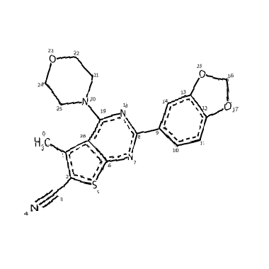 Cc1c(C#N)sc2nc(-c3ccc4c(c3)OCO4)nc(N3CCOCC3)c12